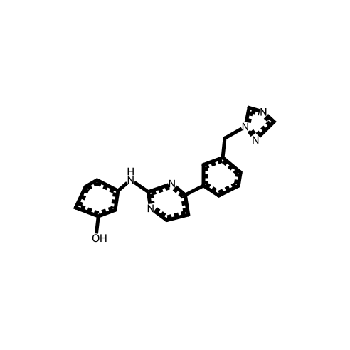 Oc1cccc(Nc2nccc(-c3cccc(Cn4cncn4)c3)n2)c1